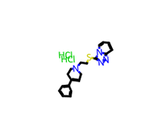 C1=C(c2ccccc2)CCN(CCSc2nnc3ccccn23)C1.Cl.Cl